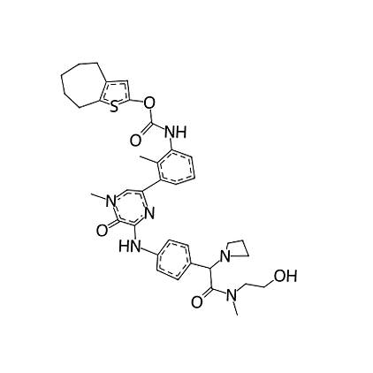 Cc1c(NC(=O)Oc2cc3c(s2)CCCCC3)cccc1-c1cn(C)c(=O)c(Nc2ccc(C(C(=O)N(C)CCO)N3CCC3)cc2)n1